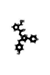 O=C(Cn1nc(-c2ccncc2)cc1Cc1ccc(F)cc1)N1CCC[C@H]1CO